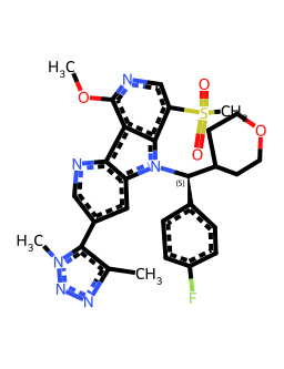 COc1ncc(S(C)(=O)=O)c2c1c1ncc(-c3c(C)nnn3C)cc1n2[C@H](c1ccc(F)cc1)C1CCOCC1